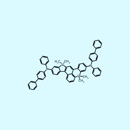 C[Si]1(C)c2cc(N(c3ccccc3)c3ccc(-c4ccccc4)cc3)ccc2-c2c1cc1c3c(cccc23)[Si](C)(C)c2cc(N(c3ccccc3)c3ccc(-c4ccccc4)cc3)ccc2-1